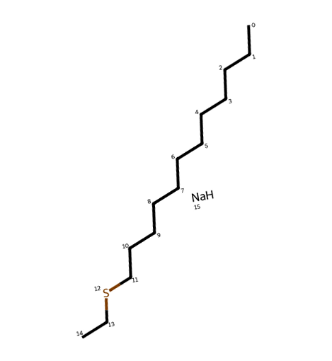 CCCCCCCCCCCCSCC.[NaH]